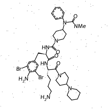 CNC(=O)N(c1ccccc1)C1CCN(C(=O)N[C@H](Cc2cc(Br)c(N)c(Br)c2)C(=O)N[C@@H](CCCCN)C(=O)N2CCC(N3CCCCC3)CC2)CC1